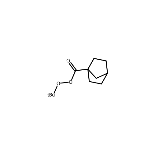 CC(C)(C)OOC(=O)C12CCC(CC1)C2